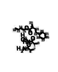 C=CC(=O)NCO.C=CC(N)=O.C=CC=COC(=O)C(=C)C=Cc1ccccc1